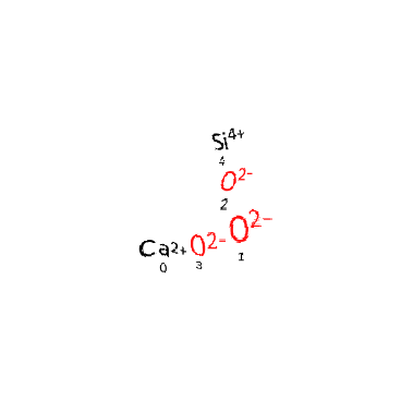 [Ca+2].[O-2].[O-2].[O-2].[Si+4]